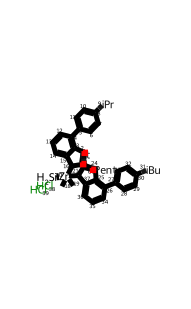 CCCC(C)C1=Cc2c(-c3ccc(C(C)C)cc3)cccc2[CH]1[Zr]([CH3])([CH3])(=[SiH2])[CH]1C(CC)=Cc2c(-c3ccc(C(C)CC)cc3)cccc21.Cl.Cl